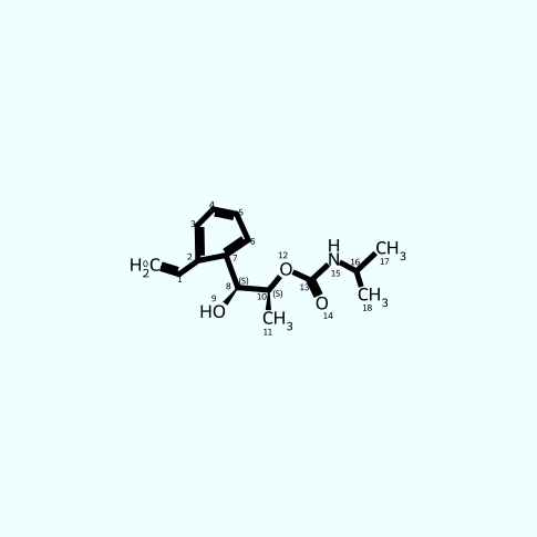 C=Cc1ccccc1[C@H](O)[C@H](C)OC(=O)NC(C)C